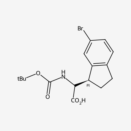 CC(C)(C)OC(=O)NC(C(=O)O)[C@@H]1CCc2ccc(Br)cc21